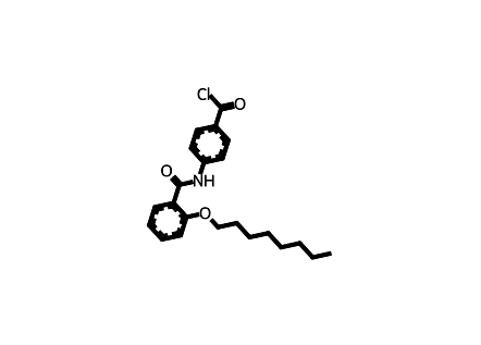 CCCCCCCCOc1ccccc1C(=O)Nc1ccc(C(=O)Cl)cc1